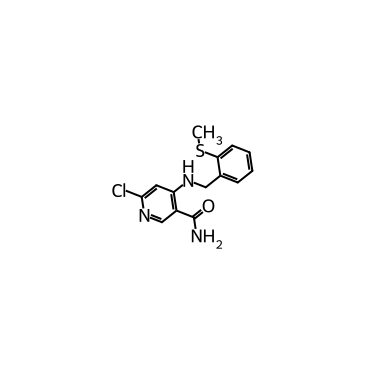 CSc1ccccc1CNc1cc(Cl)ncc1C(N)=O